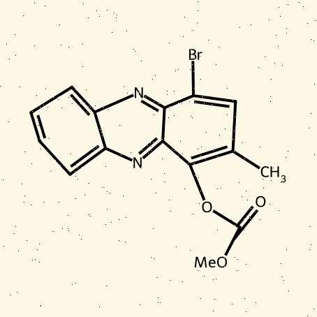 COC(=O)Oc1c(C)cc(Br)c2nc3ccccc3nc12